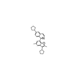 Cc1cc(-c2nccc3cc(C4CCCC4)ccc23)c2oc(C)c(C3CCCC3)c2c1